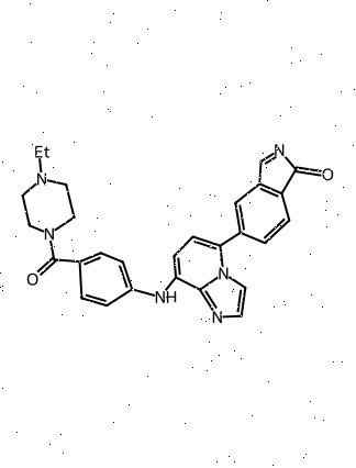 CCN1CCN(C(=O)c2ccc(Nc3ccc(-c4ccc5c(c4)C=NC5=O)n4ccnc34)cc2)CC1